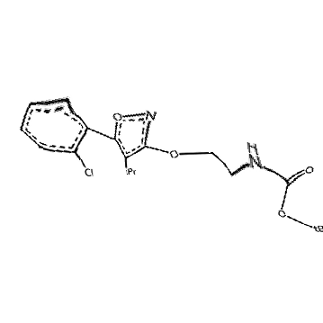 CC(C)c1c(OCCNC(=O)OC(C)(C)C)noc1-c1ccccc1Cl